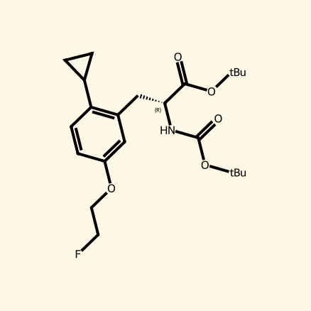 CC(C)(C)OC(=O)N[C@H](Cc1cc(OCCF)ccc1C1CC1)C(=O)OC(C)(C)C